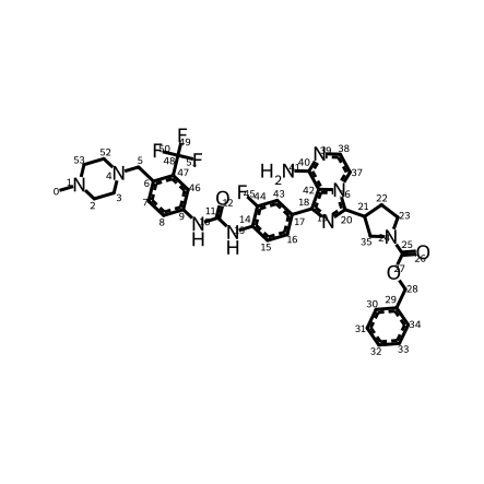 CN1CCN(Cc2ccc(NC(=O)Nc3ccc(-c4nc(C5CCN(C(=O)OCc6ccccc6)C5)n5ccnc(N)c45)cc3F)cc2C(F)(F)F)CC1